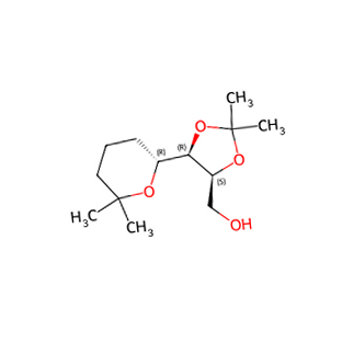 CC1(C)CCC[C@H]([C@H]2OC(C)(C)O[C@H]2CO)O1